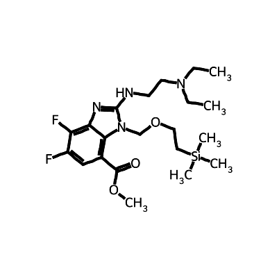 CCN(CC)CCNc1nc2c(F)c(F)cc(C(=O)OC)c2n1COCC[Si](C)(C)C